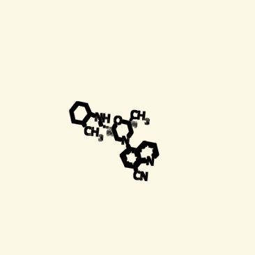 CC1CCCCC1NC[C@H]1CN(c2ccc(C#N)c3ncccc23)C[C@@H](C)O1